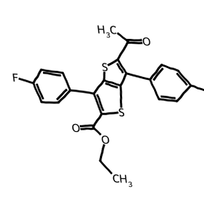 CCOC(=O)c1sc2c(-c3ccc(F)cc3)c(C(C)=O)sc2c1-c1ccc(F)cc1